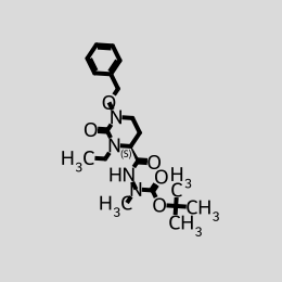 CCN1C(=O)N(OCc2ccccc2)CC[C@H]1C(=O)NN(C)C(=O)OC(C)(C)C